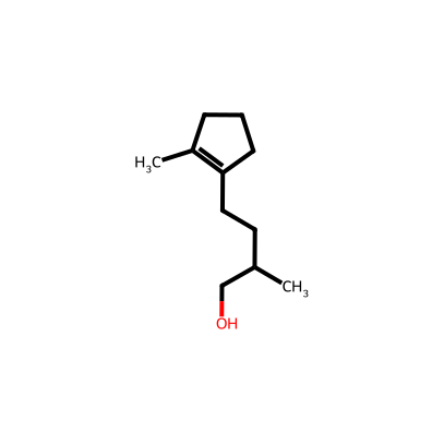 CC1=C(CCC(C)CO)CCC1